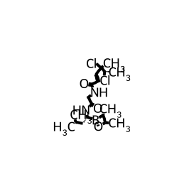 CC(C)C[C@H](NC(=O)CNC(=O)/C=C/C(C)(Cl)[C@H](C)Cl)B1OC(C)C1C